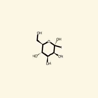 OC[C@H]1O[C@@](O)(I)[C@@H](O)[C@@H](O)[C@@H]1O